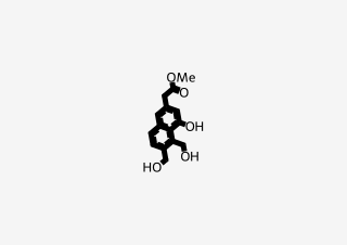 COC(=O)Cc1cc(O)c2c(CO)c(CO)ccc2c1